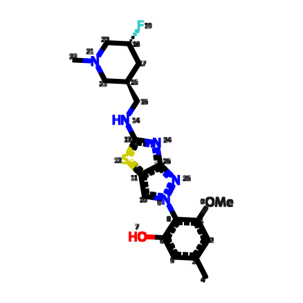 COc1cc(C)cc(O)c1-n1cc2sc(NC[C@@H]3C[C@@H](F)CN(C)C3)nc2n1